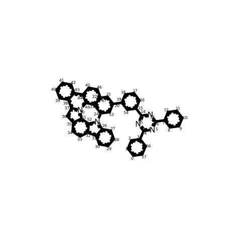 c1ccc(-c2nc(-c3ccccc3)nc(-c3cccc(-c4cccc(-n5c6ccccc6c6ccc7cc8c9ccccc9c9ccccc9n8c7c65)c4)c3)n2)cc1